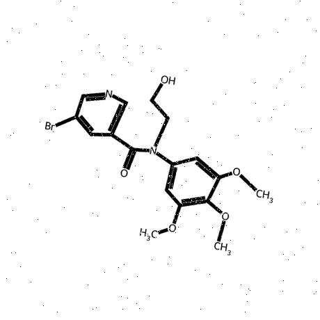 COc1cc(N(CCO)C(=O)c2cncc(Br)c2)cc(OC)c1OC